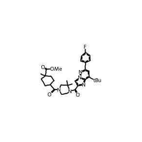 COC(=O)C1(C)CCC(C(=O)N2CCN(C(=O)c3cn4nc(-c5ccc(F)cc5)cc(C(C)(C)C)c4n3)C(C)(C)C2)CC1